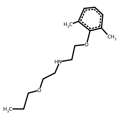 CCCOCCNCCOc1c(C)cccc1C